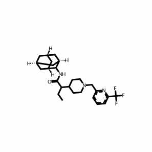 CCC(C(=O)NC1[C@H]2C[C@@H]3C[C@@H](C[C@H]1C3)C2)C1CCN(Cc2cccc(C(F)(F)F)n2)CC1